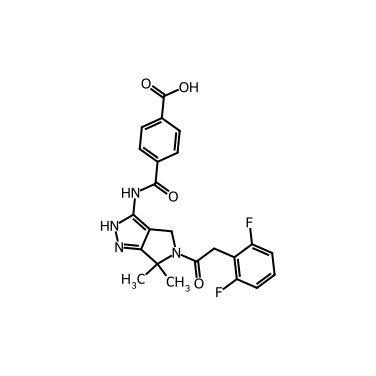 CC1(C)c2n[nH]c(NC(=O)c3ccc(C(=O)O)cc3)c2CN1C(=O)Cc1c(F)cccc1F